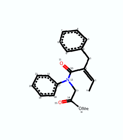 CC=C(Cc1ccccc1)C(=O)N(CC(=O)OC)c1ccccc1